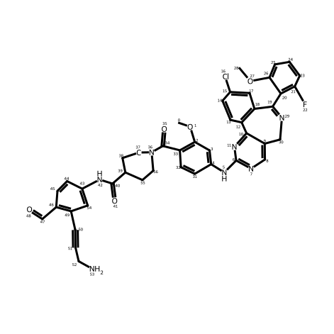 COc1cc(Nc2ncc3c(n2)-c2ccc(Cl)cc2C(c2c(F)cccc2OC)=NC3)ccc1C(=O)N1CCC(C(=O)Nc2ccc(C=O)c(C#CCN)c2)CC1